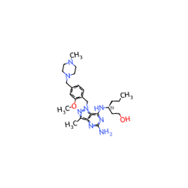 CCC[C@@H](CCO)Nc1nc(N)nc2c(C)nn(Cc3ccc(CN4CCN(C)CC4)cc3OC)c12